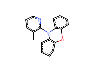 Cc1cccnc1N1c2ccccc2Oc2ccccc21